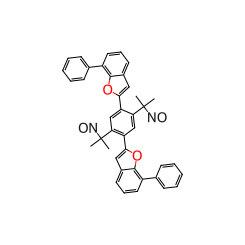 CC(C)(N=O)c1cc(-c2cc3cccc(-c4ccccc4)c3o2)c(C(C)(C)N=O)cc1-c1cc2cccc(-c3ccccc3)c2o1